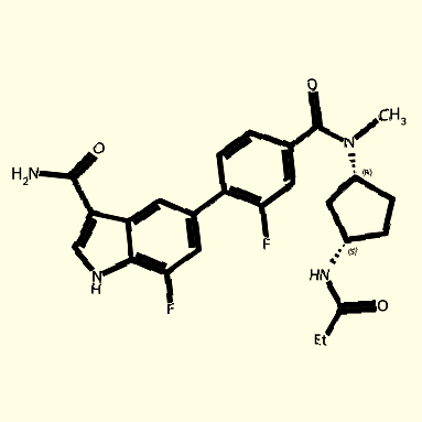 CCC(=O)N[C@H]1CC[C@@H](N(C)C(=O)c2ccc(-c3cc(F)c4[nH]cc(C(N)=O)c4c3)c(F)c2)C1